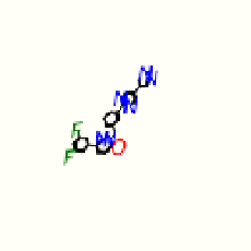 Cn1cc(-c2cnc(-c3cccc(Cn4nc(-c5cc(F)cc(F)c5)ccc4=O)c3)nc2)cn1